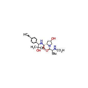 C#Cc1ccc([C@@H](NC(=O)[C@@H]2C[C@@H](O)CN2C(=O)[C@@H](NC(=O)O)C(C)(C)C)C(C)(C)O)cc1